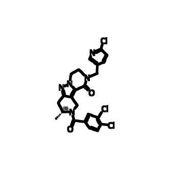 C[C@@H]1Cc2nn3c(c2CN1C(=O)c1ccc(Cl)c(Cl)c1)C(=O)N(Cc1ccc(Cl)nc1)CC3